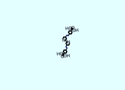 O=P(O)(O)c1ccc(/C=C/c2ccnc(-c3cc(/C=C/c4ccc(P(=O)(O)O)cc4)ccn3)c2)cc1